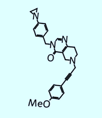 COc1ccc(C#CCN2CCc3ncn(Cc4ccc(N5CC5)cc4)c(=O)c3C2)cc1